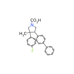 CC1(c2ccc(F)cc2)CN(C(=O)O)CC1c1ccc(-c2ccccc2)cc1